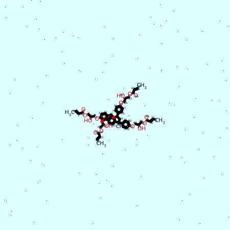 CC=CC(=O)OCC(O)COc1ccc(CCC(CC(C)(c2ccc(OCC(O)COC(=O)C=CC)cc2)c2ccc(OCC(O)COC(=O)C=CC)cc2)c2ccc(OCC(O)COC(=O)C=CC)cc2)cc1